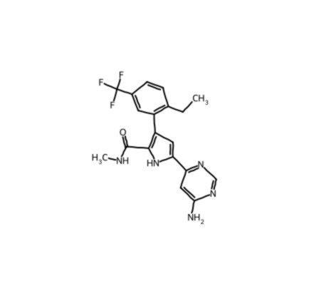 CCc1ccc(C(F)(F)F)cc1-c1cc(-c2cc(N)ncn2)[nH]c1C(=O)NC